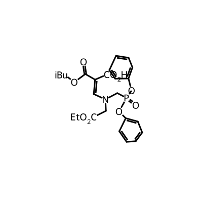 CCOC(=O)CN(C=C(C(=O)O)C(=O)OC(C)CC)CP(=O)(Oc1ccccc1)Oc1ccccc1